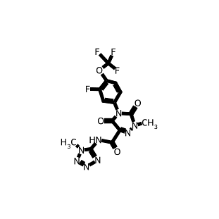 Cn1nnnc1NC(=O)c1nn(C)c(=O)n(-c2ccc(OC(F)(F)F)c(F)c2)c1=O